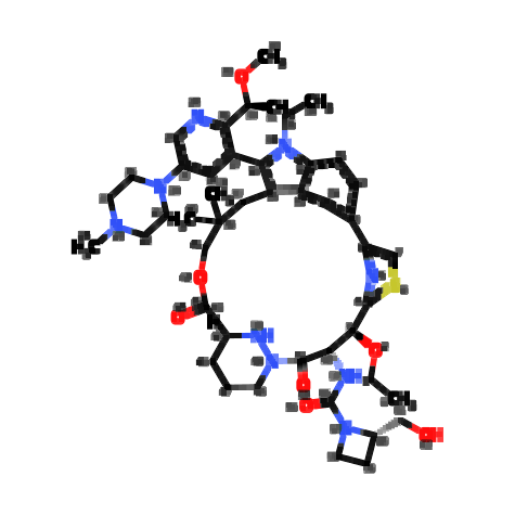 CCO[C@@H]1c2nc(cs2)-c2ccc3c(c2)c(c(-c2cc(N4CCN(C)CC4)cnc2[C@H](C)OC)n3CC)CC(C)(C)COC(=O)[C@@H]2CCCN(N2)C(=O)[C@H]1NC(=O)N1CC[C@H]1CO